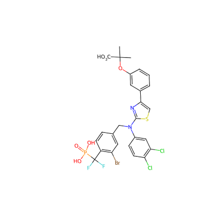 CC(C)(Oc1cccc(-c2csc(N(Cc3ccc(C(F)(F)P(=O)(O)O)c(Br)c3)c3ccc(Cl)c(Cl)c3)n2)c1)C(=O)O